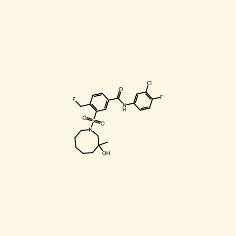 CC1(O)CCCCCN(S(=O)(=O)c2cc(C(=O)Nc3ccc(F)c(Cl)c3)ccc2CF)C1